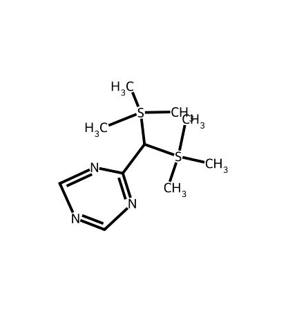 CS(C)(C)C(c1ncncn1)S(C)(C)C